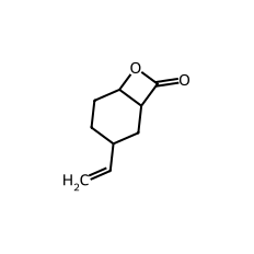 C=CC1CCC2OC(=O)C2C1